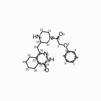 O=C(COc1ccccc1)N1CCNC(Cc2n[nH]c(=O)c3c2CCCC3)C1